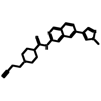 C#CCCN1CCC(C(=O)Nc2cc3cc(-c4cnn(C)c4)ccc3cn2)CC1